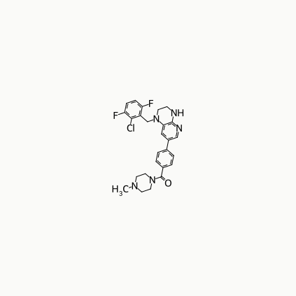 CN1CCN(C(=O)c2ccc(-c3cnc4c(c3)N(Cc3c(F)ccc(F)c3Cl)CCN4)cc2)CC1